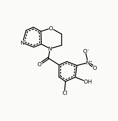 O=C(c1cc(Cl)c(O)c([N+](=O)[O-])c1)N1CCOc2ccncc21